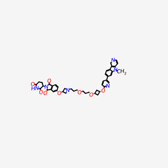 Cn1c2ccncc2c2ccc(-c3ccc(O[C@H]4C[C@H](OCCCOCCCN5CC(Oc6ccc7c(c6)C(=O)N(C6CCC(=O)NC6=O)C7=O)C5)C4)nc3)cc21